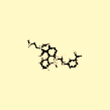 COCCn1cnc2ccc(NC(=O)Nc3cccc(C(C)=O)c3)c(-c3cccnc3OC)c2c1=O